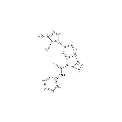 Cc1c(-c2ccc3c(n2)C(C(=O)Nc2ccccn2)C2CCN32)cnn1C